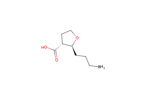 BCCC[C@@H]1OCC[C@H]1C(=O)O